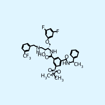 C[C@@H](NC(=O)c1cc(C(=O)N[C@@H](COc2cc(F)cc(F)c2)[C@H](O)CNCc2cccc(C(F)(F)F)c2)cc(S(=O)(=O)N(C)C)c1)c1ccccc1